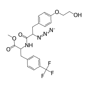 COC(=O)C(Cc1ccc(C(F)(F)F)cc1)NC(=O)C(Cc1ccc(OCCO)cc1)N=[N+]=[N-]